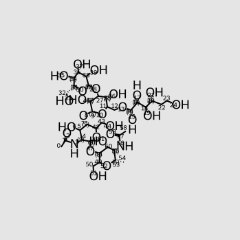 CC(=O)N[C@H]1C(O)[C@H](O[C@@H]2OC(CO[C@@H](O)[C@H](O)C(O)[C@H](O)CCO)[C@@H](O)C(O[C@H]3O[C@H](CO)[C@@H](O)C(O)C3O)[C@H]2O)C(CO)O[C@H]1O[C@@H]1C(CO)O[C@@H](C)[C@@H](NC(C)=O)C1O